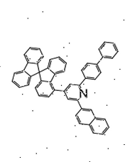 c1ccc(-c2ccc(-c3cc(-c4cccc5c4-c4ccccc4C54c5ccccc5-c5ccccc54)cc(-c4ccc5ccccc5c4)n3)cc2)cc1